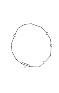 [CH]1/C=C\CCCCCCCCCCCCC1